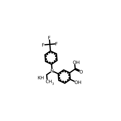 CCN(c1ccc(C(F)(F)F)cc1)c1ccc(O)c(C(=O)O)c1.[KH]